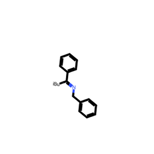 CCC(C)/C(=N\Cc1ccccc1)c1ccccc1